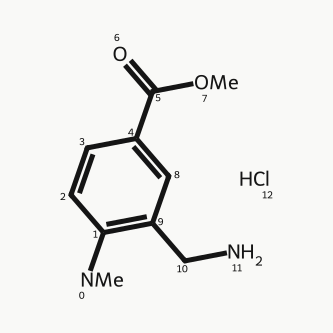 CNc1ccc(C(=O)OC)cc1CN.Cl